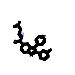 Cc1cccc(-c2nn3c(c2-c2ccncc2)CN(C(=O)/C=C/CN(C)C)CC3)c1